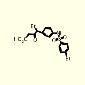 CCc1ccc(S(=O)(=O)Nc2ccc(C(CC)C(=O)CC(=O)O)cc2)cc1